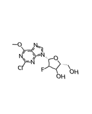 COc1nc(Cl)nc2c1ncn2[C@@H]1O[C@H](CO)C(O)C1F